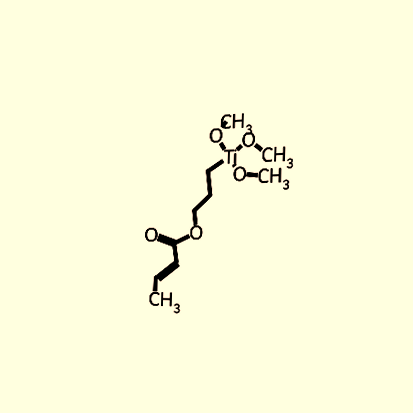 CC=CC(=O)OCC[CH2][Ti]([O]C)([O]C)[O]C